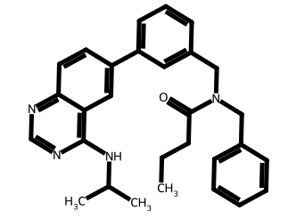 CCCC(=O)N(Cc1ccccc1)Cc1cccc(-c2ccc3ncnc(NC(C)C)c3c2)c1